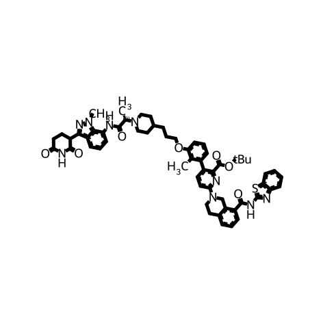 Cc1c(OCCCC2CCN([C@H](C)C(=O)Nc3cccc4c(C5CCC(=O)NC5=O)nn(C)c34)CC2)cccc1-c1ccc(N2CCc3cccc(C(=O)Nc4nc5ccccc5s4)c3C2)nc1C(=O)OC(C)(C)C